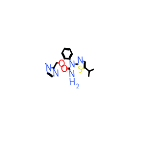 CC(C)c1cnc(N(C(N)=O)c2ccccc2OCc2nccn2C)s1